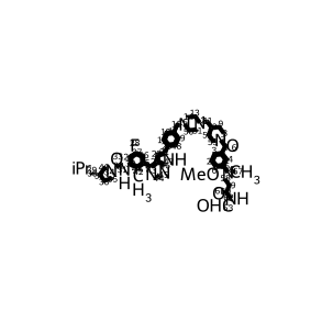 COc1ccc(C(=O)N2CCC(CN3CCN(Cc4ccc(-c5cc6c(-c7cc(F)cc(NC(=O)N8CC[C@H](CC(C)C)C8)c7C)ncnc6[nH]5)cc4)CC3)CC2)cc1N(C)CCC(=O)NC=O